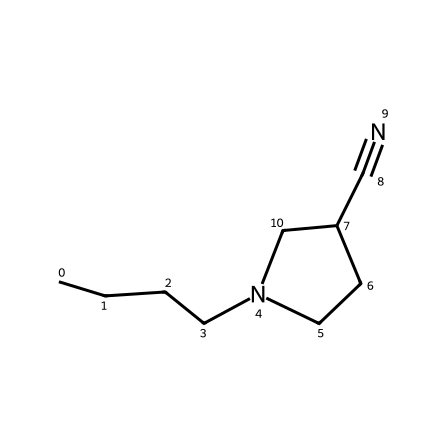 CCCCN1CCC(C#N)C1